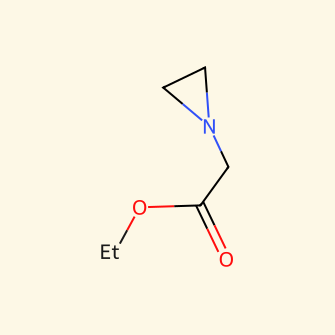 CCOC(=O)CN1CC1